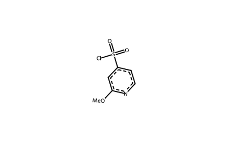 COc1cc(S(=O)(=O)Cl)ccn1